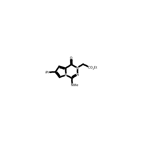 CCOC(=O)Cn1nc(NC)n2cc(C(C)C)cc2c1=O